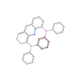 C1=c2cc3cccc(P(c4ccccc4)c4ccccc4)c3nc2=C(P(c2ccccc2)c2ccccc2)CC1